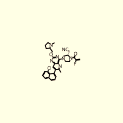 C=C(F)C(=O)N1CCN(c2nc(OCC3CCCN3C)nc3cc(-c4cccc5cccc(Cl)c45)c(C)nc23)C[C@@H]1CC#N